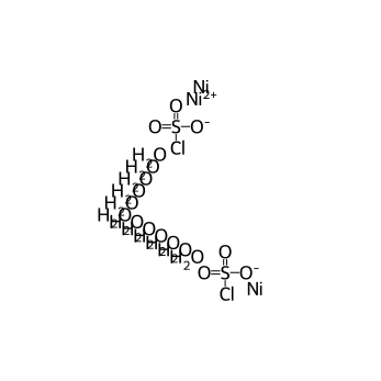 O.O.O.O.O.O.O.O.O.O.O.O.O=S(=O)([O-])Cl.O=S(=O)([O-])Cl.[Ni+2].[Ni].[Ni]